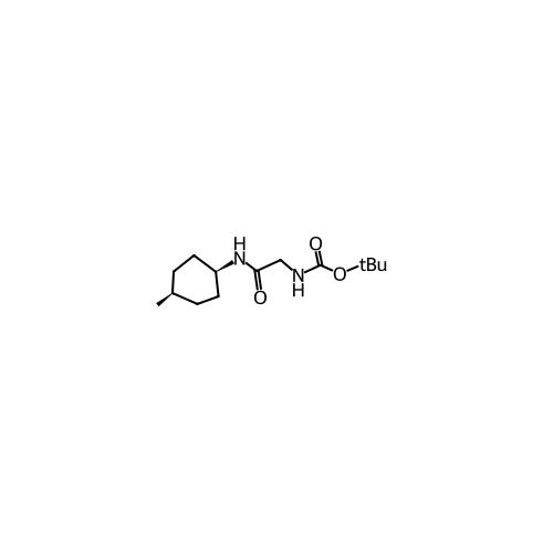 CC(C)(C)OC(=O)NCC(=O)N[C@H]1CC[C@@H](C)CC1